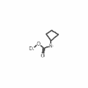 CCOC(=O)[N]C1CCC1